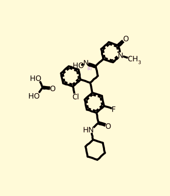 Cn1cc(/C(CC(c2ccc(C(=O)NC3CCCCC3)c(F)c2)c2ccccc2Cl)=N/O)ccc1=O.O=C(O)O